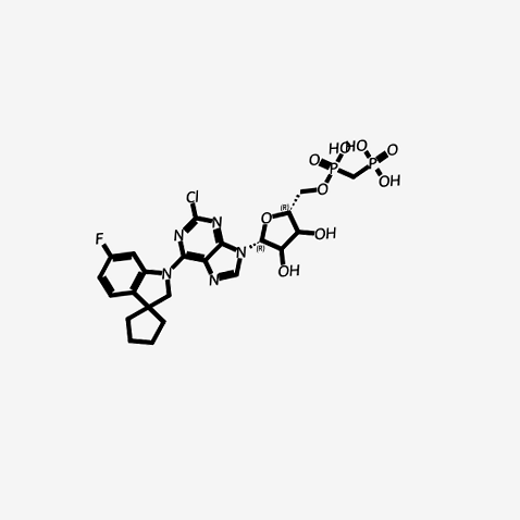 O=P(O)(O)CP(=O)(O)OC[C@H]1O[C@@H](n2cnc3c(N4CC5(CCCC5)c5ccc(F)cc54)nc(Cl)nc32)C(O)C1O